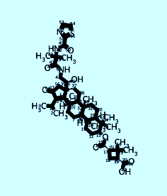 CC(C)C1=C2[C@H]3CC[C@@H]4[C@@]5(C)CC[C@H](OC(=O)[C@H]6C[C@@H](C(=O)O)C6(C)C)C(C)(C)[C@@H]5CC[C@@]4(C)[C@]3(C)CC[C@@]2([C@@H](O)CNC(=O)C(C)(C)NC(=O)c2nccs2)CC1=O